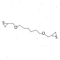 C(CCCOCC1CS1)CCOCC1CS1